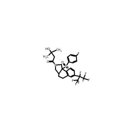 CC(C)(O)CC(=O)N1CC2CCc3cc(C(F)(C(F)(F)F)C(F)(F)F)ccc3C2(S(=O)(=O)c2ccc(F)cc2)C1